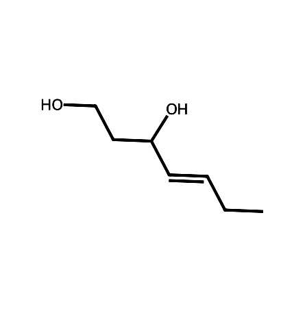 CCC=CC(O)CCO